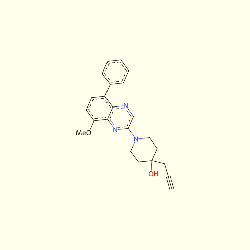 C#CCC1(O)CCN(c2cnc3c(-c4ccccc4)ccc(OC)c3n2)CC1